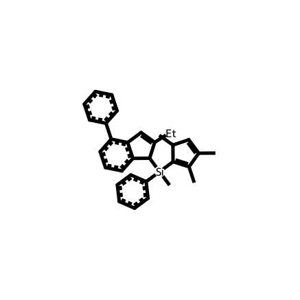 CCC1=Cc2c(-c3ccccc3)cccc2C1[Si](C)(C1=C(C)C(C)=CC1C)c1ccccc1